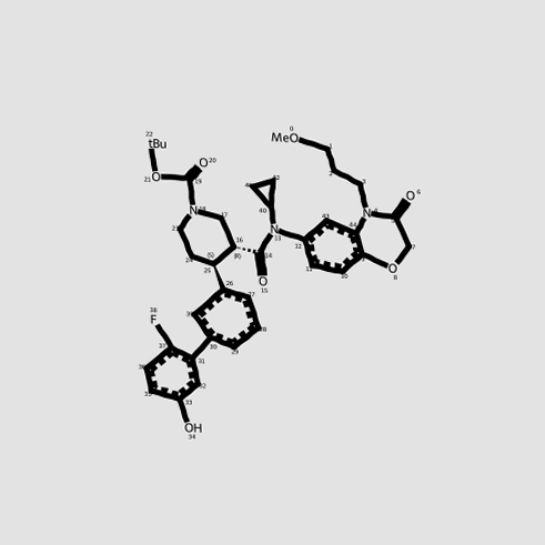 COCCCN1C(=O)COc2ccc(N(C(=O)[C@H]3CN(C(=O)OC(C)(C)C)CC[C@@H]3c3cccc(-c4cc(O)ccc4F)c3)C3CC3)cc21